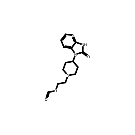 O=COCCN1CCC(n2c(=O)[nH]c3ncccc32)CC1